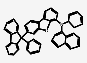 C1=CCC(N(c2cccc3ccccc23)c2cccc3c2oc2cc(C4(c5ccccc5)c5ccccc5-c5ccccc54)ccc23)C=C1